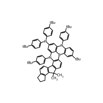 CC(C)(C)c1ccc(N(c2ccc(C(C)(C)C)cc2)c2cc3c4c(c2)N(c2ccc(C(C)(C)C)cc2)c2c(ccc5c2-c2ccc6c(c2C5(C)C)CCC6)B4c2cc(C(C)(C)C)ccc2N3c2ccc(C(C)(C)C)cc2)cc1